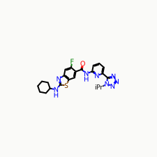 CC(C)n1nnnc1-c1cccc(NC(=O)c2cc3sc(NC4CCCCC4)nc3cc2F)n1